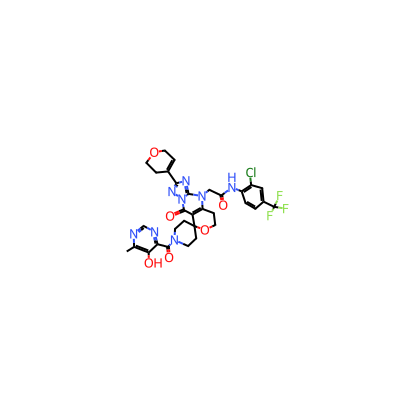 Cc1ncnc(C(=O)N2CCC3(CC2)OCCc2c3c(=O)n3nc(C4=CCOCC4)nc3n2CC(=O)Nc2ccc(C(F)(F)F)cc2Cl)c1O